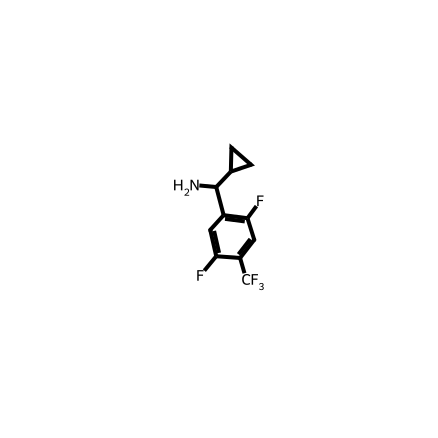 NC(c1cc(F)c(C(F)(F)F)cc1F)C1CC1